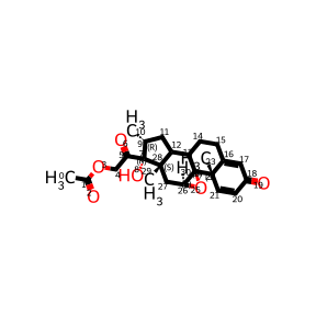 CC(=O)OCC(=O)[C@@]1(O)[C@H](C)CC2C3CCC4=CC(=O)C=C[C@]4(C)[C@@]34O[C@H]4C[C@@]21C